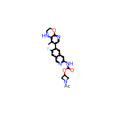 CC(=O)N1CC(OC(=O)Nc2cc3cc(-c4cnc5c(c4C)NCCO5)c(F)cc3cn2)C1